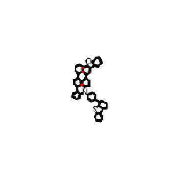 c1ccc(-c2ccc(-c3ccccc3N(c3ccc(-c4ccc5oc6ccccc6c5c4)cc3)c3ccc(-c4cccc5c4sc4ccccc45)cc3)cc2)cc1